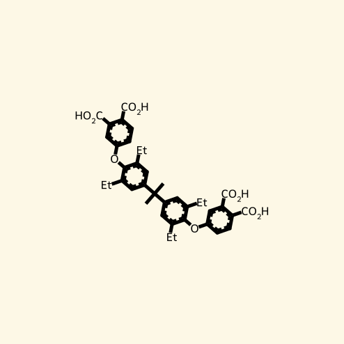 CCc1cc(C(C)(C)c2cc(CC)c(Oc3ccc(C(=O)O)c(C(=O)O)c3)c(CC)c2)cc(CC)c1Oc1ccc(C(=O)O)c(C(=O)O)c1